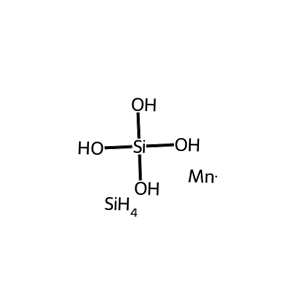 O[Si](O)(O)O.[Mn].[SiH4]